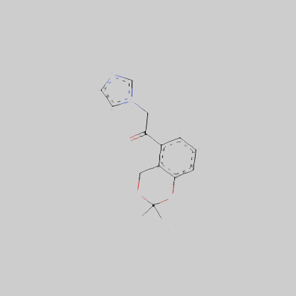 CC1(C)OCc2c(cccc2C(=O)Cn2ccnc2)O1